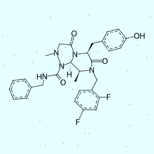 C[C@H]1[C@@H]2N(C(=O)CN(C)N2C(=O)NCc2ccccc2)[C@@H](Cc2ccc(O)cc2)C(=O)N1Cc1ccc(F)cc1F